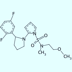 COCCN(C)S(=O)(=O)n1cccc1N1CCCC1c1cc(F)ccc1F